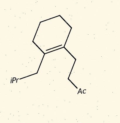 CC(=O)CCC1=C(CC(C)C)CCCC1